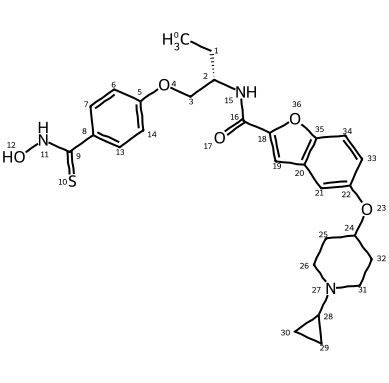 CC[C@@H](COc1ccc(C(=S)NO)cc1)NC(=O)c1cc2cc(OC3CCN(C4CC4)CC3)ccc2o1